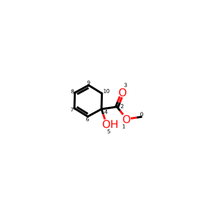 COC(=O)C1(O)C=CC=CC1